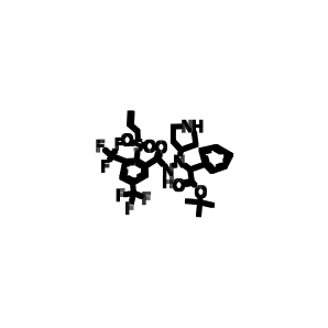 C=CCS(=O)(=O)c1c(C(=O)NN(C2CCNCC2)C(C(=O)OC(C)(C)C)c2ccccc2)cc(C(F)(F)F)cc1C(F)(F)F